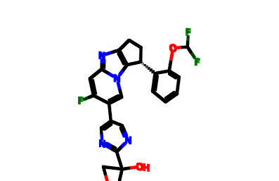 OC1(c2ncc(-c3cn4c5c(nc4cc3F)CC[C@@H]5c3ccccc3OC(F)F)cn2)COC1